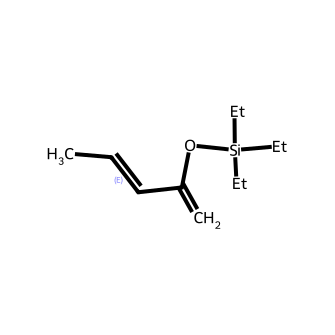 C=C(/C=C/C)O[Si](CC)(CC)CC